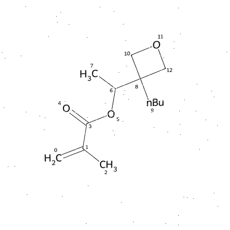 C=C(C)C(=O)OC(C)C1(CCCC)COC1